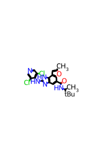 Cc1cc2c(o1)c(C(=O)NC(C)C(C)(C)C)cc1nc(Nc3c(Cl)cncc3Cl)[nH]c12